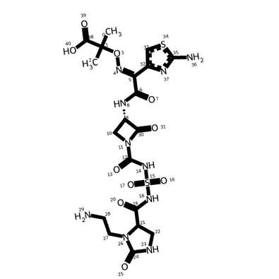 CC(C)(ON=C(C(=O)N[C@H]1CN(C(=O)NS(=O)(=O)NC(=O)C2CNC(=O)N2CCN)C1=O)c1csc(N)n1)C(=O)O